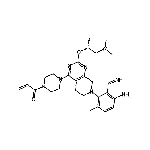 C=CC(=O)N1CCN(c2nc(O[C@H](C)CN(C)C)nc3c2CCN(c2c(C)ccc(N)c2C=N)C3)CC1